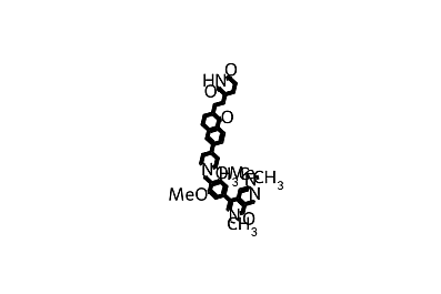 COc1cc(-c2cn(C)c(=O)c3cnc(N(C)C)cc23)cc(OC)c1CN1CCC(c2ccc3c(c2)CCC(CCC2CCC(=O)NC2=O)C3=O)CC1